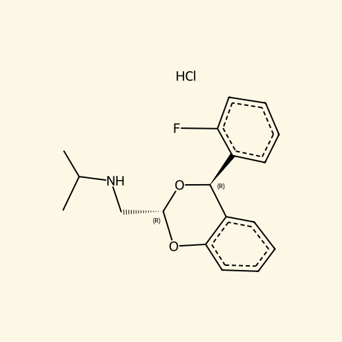 CC(C)NC[C@H]1Oc2ccccc2[C@H](c2ccccc2F)O1.Cl